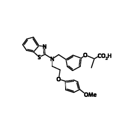 COc1ccc(OCCN(Cc2cccc(OC(C)C(=O)O)c2)c2nc3ccccc3s2)cc1